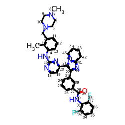 Cc1c(CN2CCN(C)CC2)cccc1Nc1nccc(-c2c(-c3cccc(C(=O)Nc4c(F)cccc4F)c3)nc3ccccn23)n1